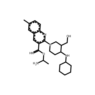 Cc1ccc2nc(N3CCC(NC4CCCCC4)C(CO)C3)c(C(=N)OC(C)N)cc2c1